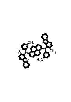 Cc1cccc(N(c2ccc3ccc4c(N(c5cccc(C)c5)c5c(C)ccc6c5sc5ccccc56)ccc5ccc2c3c54)c2c(C)ccc3c2sc2ccccc23)c1